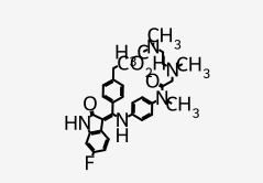 CN(C)CCN(C)CC(=O)N(C)c1ccc(NC(=C2C(=O)Nc3cc(F)ccc32)c2ccc(CC(=O)O)cc2)cc1